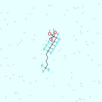 CO[Si](OC)(OC)C(F)(F)C(F)(F)C(F)(F)C(F)(F)C(F)(F)CCCCC(F)(F)F